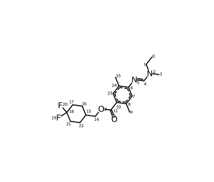 CCN(C)/C=N/c1cc(C)c(C(=O)OCC2CCC(F)(F)CC2)cc1C